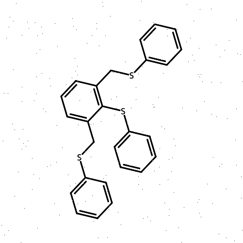 c1ccc(SCc2cccc(CSc3ccccc3)c2Sc2ccccc2)cc1